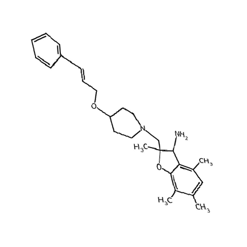 Cc1cc(C)c2c(c1C)OC(C)(CN1CCC(OCC=Cc3ccccc3)CC1)C2N